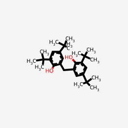 CC(C)(C)c1cc(Cc2cc(C(C)(C)C)cc(C(C)(C)C)c2O)c(O)c(C(C)(C)C)c1